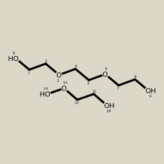 OCCOCCOCCO.OCCOO